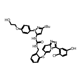 CC(C)(C)c1cc(NC(=O)NCc2ccccc2Sc2ccc3nnc(-c4cc(O)ccc4Cl)n3c2)n(-c2ccc(OCCO)cc2)n1